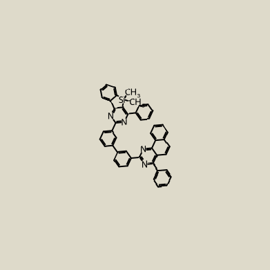 C[Si]1(C)c2ccccc2-c2nc(-c3cccc(-c4cccc(-c5nc(-c6ccccc6)c6ccc7ccccc7c6n5)c4)c3)nc(-c3ccccc3)c21